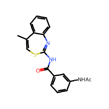 CC(=O)Nc1cccc(C(=O)NC2=Nc3ccccc3C(C)=CS2)c1